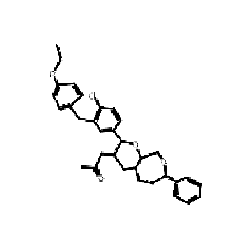 CCOc1ccc(Cc2cc(C3OC4COC(c5ccccc5)CCC4CC3CC(C)=O)ccc2Cl)cc1